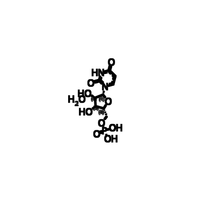 O.O=c1ccn([C@@H]2O[C@H](COP(=O)(O)O)[C@@H](O)[C@H]2O)c(=O)[nH]1